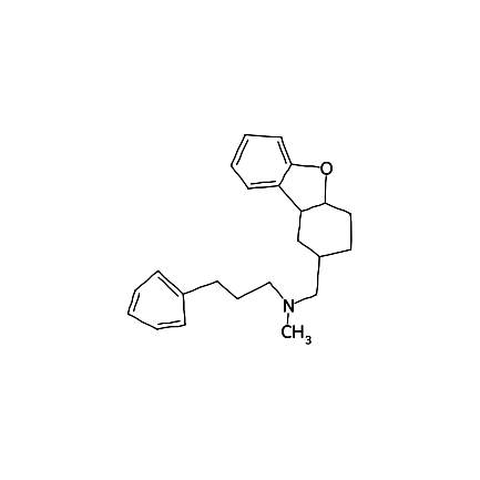 CN(CCCc1ccccc1)CC1CCC2Oc3ccccc3C2C1